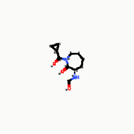 O=[C]N[C@H]1CCCCN(C(=O)C2CC2)C1=O